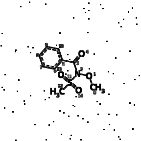 CON(C(=O)c1ccccc1)S(C)(=O)=O